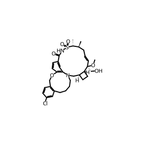 CO[C@]1(CO)/C=C/C[C@H](C)[C@@H](C)S(=O)(=O)NC(=O)c2ccc3c(c2)N(CCCCc2cc(Cl)ccc2CO3)C[C@@H]2CC[C@H]21